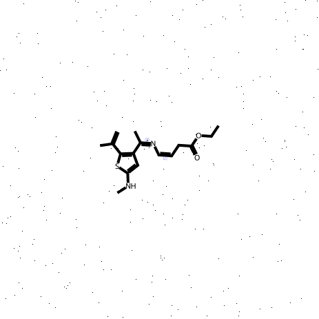 C=C(C)c1sc(NC)cc1/C(C)=N\C=C/CC(=O)OCC